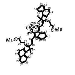 COCCCN1/C(=C/C=C2C(N(C)S(=O)(=O)C(F)(F)F)=C(/C=C/C3=[N+](CCCOC)c4ccc5ccccc5c4C3(C)C)c3ccccc3/2)C(C)(C)c2c1ccc1ccccc21